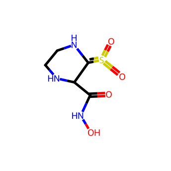 O=C(NO)C1NCCNC1=S(=O)=O